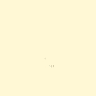 CCCCC[n+]1cc[nH]c1